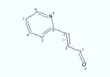 O=C/C=C/c1ccccn1